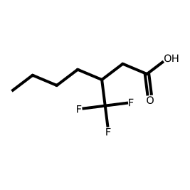 CCCCC(CC(=O)O)C(F)(F)F